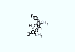 Cc1cc(Cl)ccc1OCC(=O)N1C[C@@H](C)N(Cc2ccc(F)cc2)C[C@@H]1C